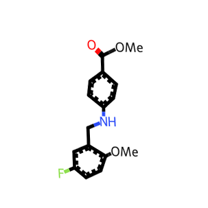 COC(=O)c1ccc(NCc2cc(F)ccc2OC)cc1